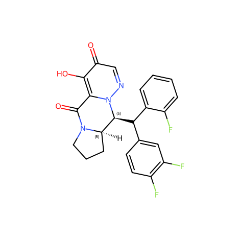 O=C1c2c(O)c(=O)cnn2[C@@H](C(c2ccc(F)c(F)c2)c2ccccc2F)[C@H]2CCCN12